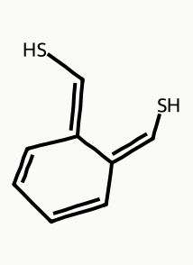 S/C=c1/cccc/c1=C\S